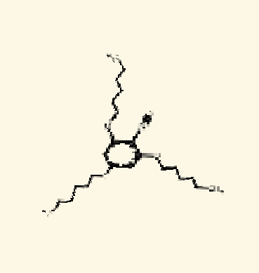 CCCCCCOc1cc(OCCCCCC)c([N+]#N)c(OCCCCCC)c1